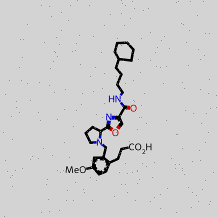 COc1ccc(CCC(=O)O)c(CN2CCCC2c2nc(C(=O)NCCCCC3CCCCC3)co2)c1